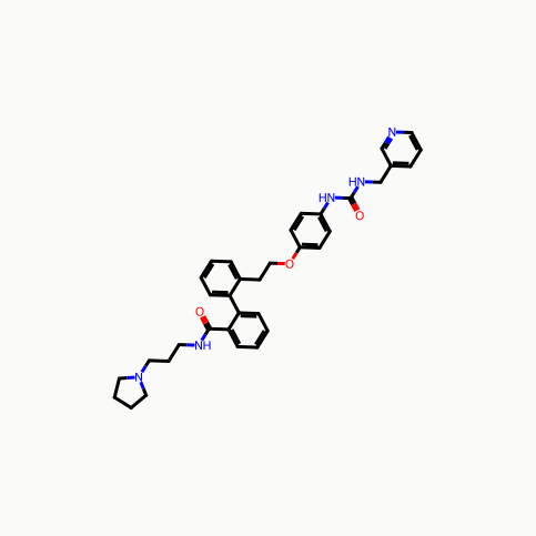 O=C(NCc1cccnc1)Nc1ccc(OCCc2ccccc2-c2ccccc2C(=O)NCCCN2CCCC2)cc1